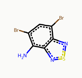 Nc1c(Br)cc(Br)c2nsnc12